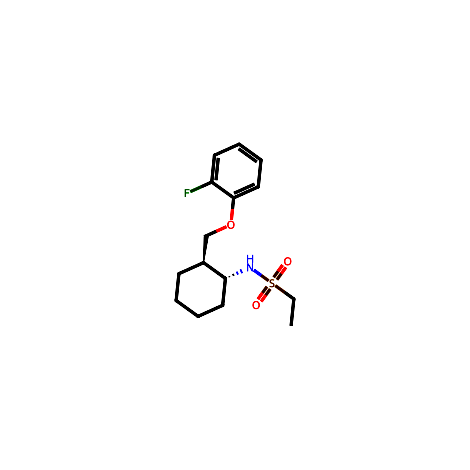 CCS(=O)(=O)N[C@@H]1CCCC[C@H]1COc1ccccc1F